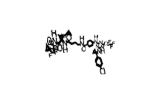 O=C(CCCNC(=O)c1ccc(Nc2nc(NC3(c4ccc(Cl)cc4)CC3)nc(OCC(F)(F)F)n2)cc1)N[C@]1(C(=O)NS(=O)(=O)C2(C(F)F)CC2)C[C@H]1C1CC1